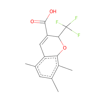 Cc1cc(C)c2c(c1C)OC(C(F)(F)F)C(C(=O)O)=C2